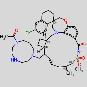 CC(=O)N1CCCN(CC2/C=C/C[C@H](C)[C@@H](C)S(=O)(=O)NC(=O)c3ccc4c(c3)N(C[C@@H]3CC[C@@H]23)C[C@@]2(CCCc3cc(Cl)ccc32)CO4)CCNCC1